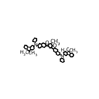 Cc1c2oc3cc4cc(N(c5ccccc5)c5ccc6c(c5)-c5ccccc5C6(C)C)ccc4cc3c2cc2c1oc1cc3cc(N(c4ccccc4)c4ccc5c(c4)-c4ccccc4C5(C)C)ccc3cc12